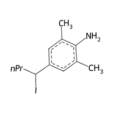 CCCC(I)c1cc(C)c(N)c(C)c1